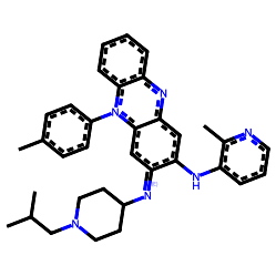 Cc1ccc(-n2c3c/c(=N\C4CCN(CC(C)C)CC4)c(Nc4cccnc4C)cc-3nc3ccccc32)cc1